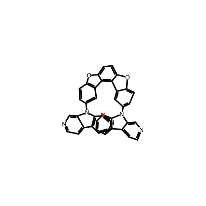 c1cnc2c(c1)c1ccncc1n2-c1ccc2oc3ccc4oc5ccc(-n6c7cnccc7c7ccncc76)cc5c4c3c2c1